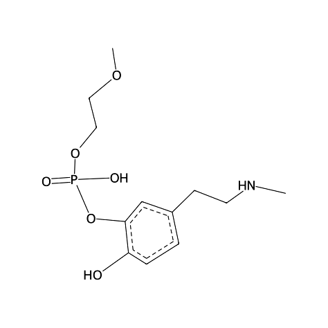 CNCCc1ccc(O)c(OP(=O)(O)OCCOC)c1